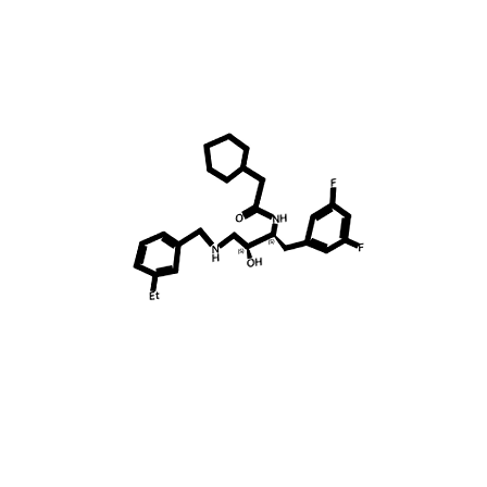 CCc1cccc(CNC[C@H](O)[C@H](Cc2cc(F)cc(F)c2)NC(=O)CC2CCCCC2)c1